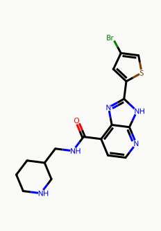 O=C(NCC1CCCNC1)c1ccnc2[nH]c(-c3cc(Br)cs3)nc12